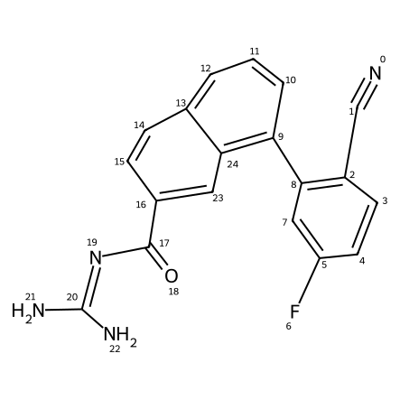 N#Cc1ccc(F)cc1-c1cccc2ccc(C(=O)N=C(N)N)cc12